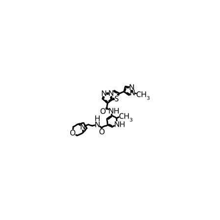 CC1NC=C(C(=O)NCCN2C3CCC2COC3)C=C1NC(=O)c1cnn2cc(-c3cnn(C)c3)sc12